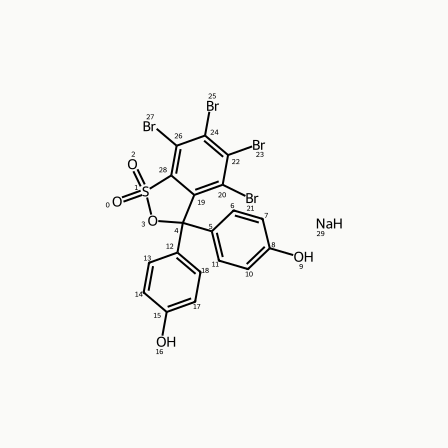 O=S1(=O)OC(c2ccc(O)cc2)(c2ccc(O)cc2)c2c(Br)c(Br)c(Br)c(Br)c21.[NaH]